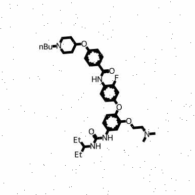 CCCCN1CCC(Oc2ccc(C(=O)Nc3ccc(Oc4ccc(NC(=O)NC(CC)CC)cc4OCCN(C)C)cc3F)cc2)CC1